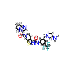 CN(C)[C@@H]1CCN(Cc2cc(NC(=O)c3csc4c3CCN(C(=O)c3cnc5ccccn35)C4)cc(C(F)(F)F)c2)C1